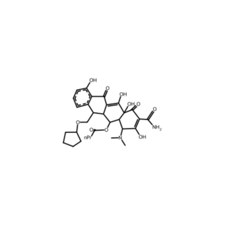 CCCC(=O)OC1C2C(=C(O)C3(O)C(=O)C(C(N)=O)=C(O)C(N(C)C)C13)C(=O)c1c(O)cccc1C2COC1CCCC1